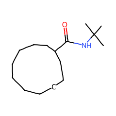 CC(C)(C)NC(=O)C1CCCCCCCCCC1